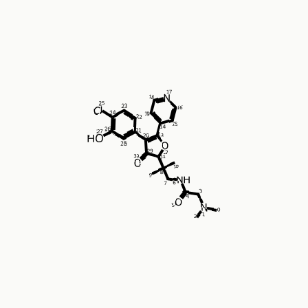 CN(C)CC(=O)NCC(C)(C)C1OC(c2ccncc2)=C(c2ccc(Cl)c(O)c2)C1=O